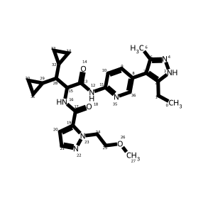 CCc1[nH]nc(C)c1-c1ccc(NC(=O)C(NC(=O)c2ccnn2CCOC)C(C2CC2)C2CC2)nc1